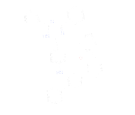 c1ccc(C2=NC(c3ccc(Nc4cc(-c5cccc6c5oc5ccccc56)ccc4-c4ccccc4)cc3)NC(c3ccccc3)=N2)cc1